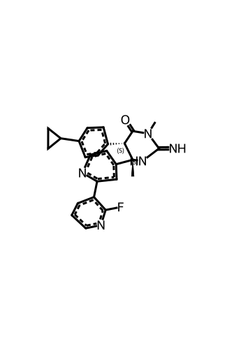 CN1C(=N)N[C@](C)(c2ccnc(-c3cccnc3F)c2)[C@H](c2ccc(C3CC3)cc2)C1=O